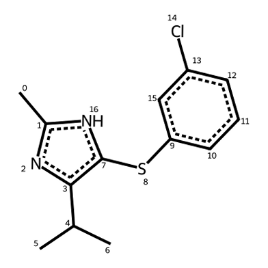 Cc1nc(C(C)C)c(Sc2cccc(Cl)c2)[nH]1